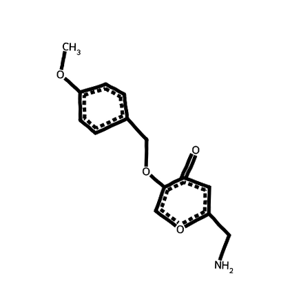 COc1ccc(COc2coc(CN)cc2=O)cc1